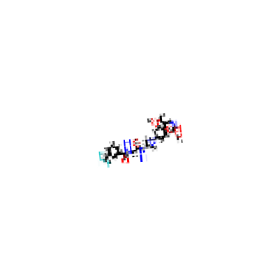 CO/C(C)=C(/C=N\C(C)OC)C1(O)CCC(N2CC(NC(=O)CNC(=O)c3cccc(C(F)(F)F)c3)C2)CC1